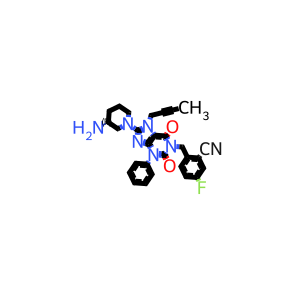 CC#CCn1c(N2CCC[C@@H](N)C2)nc2c1c(=O)n(Cc1ccc(F)cc1C#N)c(=O)n2-c1ccccc1